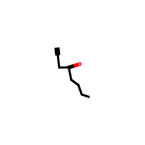 C#CCC(=O)CCCC